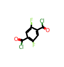 O=C(Cl)c1cc(F)c(C(=O)Cl)cc1F